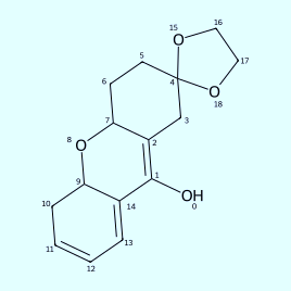 OC1=C2CC3(CCC2OC2CC=CC=C12)OCCO3